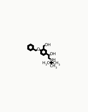 CC(C)(C)NC[C@@H](O)c1ccc(OCc2ccccc2)c(CO)c1